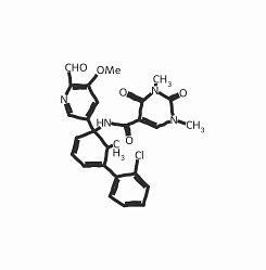 COc1cc(C2(NC(=O)c3cn(C)c(=O)n(C)c3=O)C=CC=C(c3ccccc3Cl)C2C)cnc1C=O